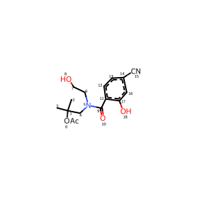 CC(=O)OC(C)(C)CN(CCO)C(=O)c1ccc(C#N)cc1O